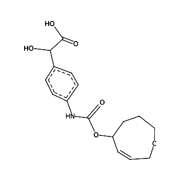 O=C(Nc1ccc(C(O)C(=O)O)cc1)OC1/C=C\CCCCC1